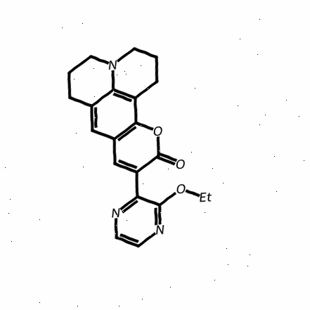 CCOc1nccnc1-c1cc2cc3c4c(c2oc1=O)CCCN4CCC3